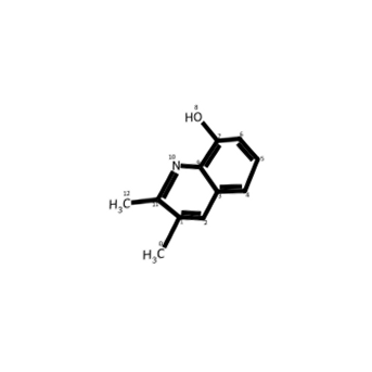 Cc1cc2cccc(O)c2nc1C